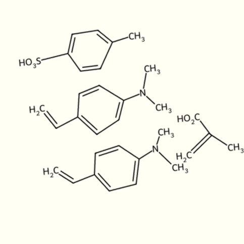 C=C(C)C(=O)O.C=Cc1ccc(N(C)C)cc1.C=Cc1ccc(N(C)C)cc1.Cc1ccc(S(=O)(=O)O)cc1